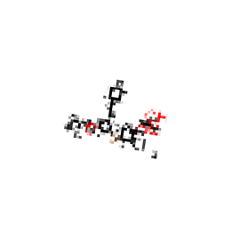 Cc1cc(Sc2cc(C#Cc3ccccc3)cc(OCC3CCCC3)c2)ccc1OCC(=O)O